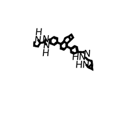 c1cc(-c2ccc(-c3ccc4nc(C5CCCN5)[nH]c4c3)c3c2C2CCC2C3)ccc1-c1cnc(C2CC3CC3N2)[nH]1